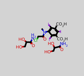 CN(C(=O)CCl)c1c(I)c(C(=O)O)c(I)c(C(=O)O)c1I.NC(=O)C(O)CO.NC(=O)C(O)CO